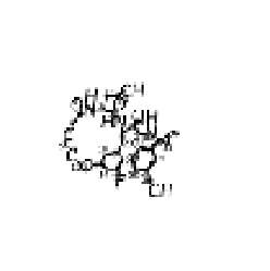 C#CCC1NC(=O)CCCCCOc2cc(F)cc(c2)CC([C@H](O)CNC2(c3cccc(C#C)c3)CC2)NC1=O